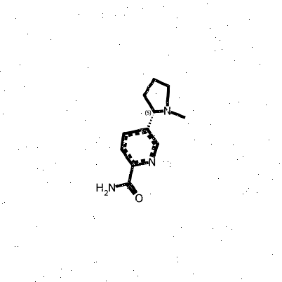 CN1CCC[C@H]1c1ccc(C(N)=O)nc1